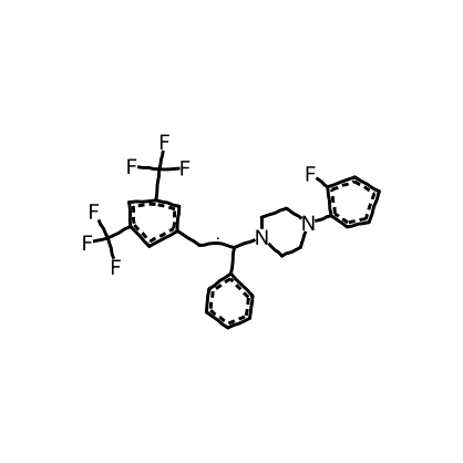 Fc1ccccc1N1CCN(C([CH]Cc2cc(C(F)(F)F)cc(C(F)(F)F)c2)c2ccccc2)CC1